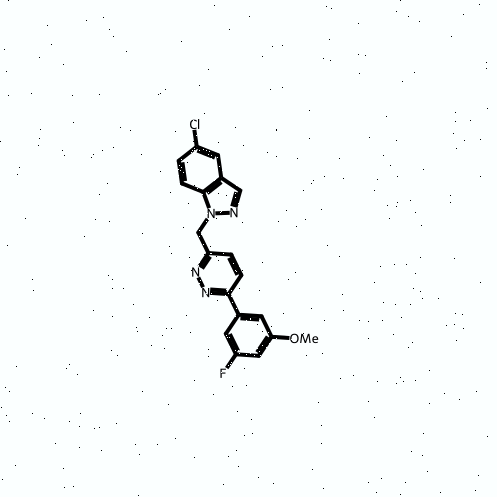 COc1cc(F)cc(-c2ccc(Cn3ncc4cc(Cl)ccc43)nn2)c1